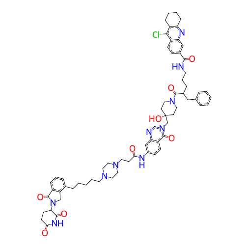 O=C1CCC(N2Cc3c(CCCCCN4CCN(CCC(=O)Nc5ccc6c(=O)n(CC7(O)CCN(C(=O)C(CCCNC(=O)c8ccc9c(Cl)c%10c(nc9c8)CCCC%10)Cc8ccccc8)CC7)cnc6c5)CC4)cccc3C2=O)C(=O)N1